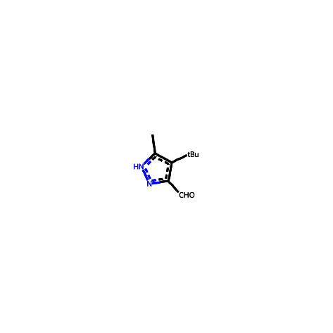 Cc1[nH]nc(C=O)c1C(C)(C)C